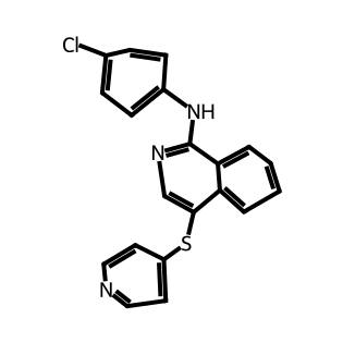 Clc1ccc(Nc2ncc(Sc3ccncc3)c3ccccc23)cc1